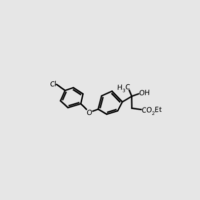 CCOC(=O)CC(C)(O)c1ccc(Oc2ccc(Cl)cc2)cc1